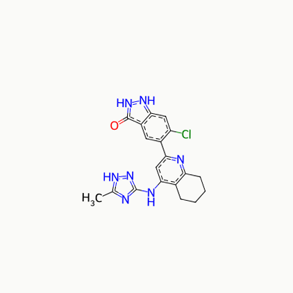 Cc1nc(Nc2cc(-c3cc4c(=O)[nH][nH]c4cc3Cl)nc3c2CCCC3)n[nH]1